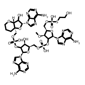 CO[C@@H]1C(OP(=O)(O)OC[C@H]2O[C@@H](n3cnc4c(N)ncnc43)C(OP(=O)(O)OC[C@]34CCCO[C@@H]3C(O)[C@H](n3cnc5c(N)ncnc53)O4)[C@H]2O)[C@H](n2cnc3c(N)ncnc32)O[C@@H]1COP(=O)(O)SCCO